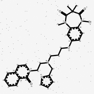 CCN1C(=O)C(C)(C)C(=O)N(C)c2cc(OCCCN(CCn3ccc4ccccc4c3=O)Cc3ccco3)ccc21